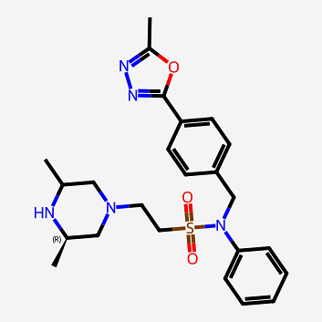 Cc1nnc(-c2ccc(CN(c3ccccc3)S(=O)(=O)CCN3CC(C)N[C@H](C)C3)cc2)o1